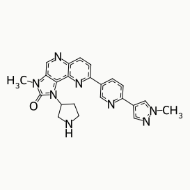 Cn1cc(-c2ccc(-c3ccc4ncc5c(c4n3)n(C3CCNC3)c(=O)n5C)cn2)cn1